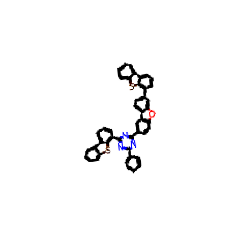 c1ccc(-c2nc(-c3ccc4oc5cc(-c6cccc7c6sc6ccccc67)ccc5c4c3)nc(-c3cccc4c3sc3ccccc34)n2)cc1